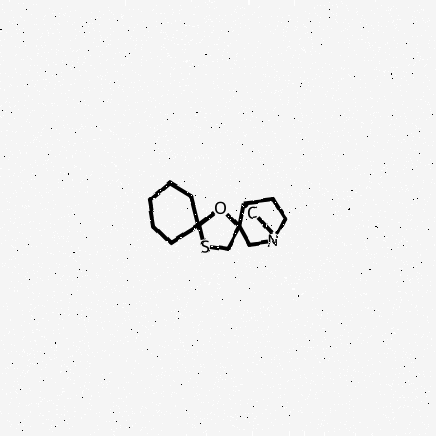 C1CCC2(CC1)OC1(CS2)CN2CCC1CC2